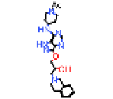 CC(=O)N1CCC(Nc2ncnc3c(OC[C@@H](O)CN4CCc5ccccc5C4)n[nH]c23)CC1